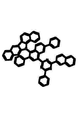 c1ccc(-c2ccc3c(-n4c5cc6ccccc6cc5c5ccc6ccccc6c54)c(-c4ccccc4)cc(-c4nc(-c5ccccc5)nc(-c5ccc6ccccc6c5)n4)c3c2)cc1